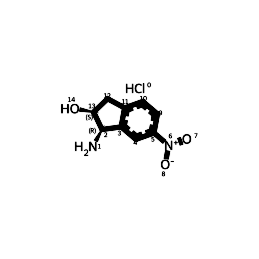 Cl.N[C@@H]1c2cc([N+](=O)[O-])ccc2C[C@@H]1O